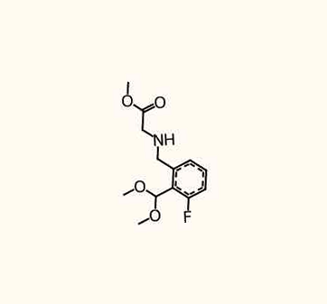 COC(=O)CNCc1cccc(F)c1C(OC)OC